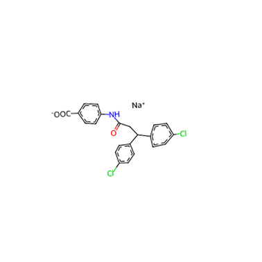 O=C(CC(c1ccc(Cl)cc1)c1ccc(Cl)cc1)Nc1ccc(C(=O)[O-])cc1.[Na+]